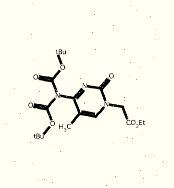 CCOC(=O)Cn1cc(C)c(N(C(=O)OC(C)(C)C)C(=O)OC(C)(C)C)nc1=O